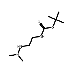 CN(C)NCCNC(=O)OC(C)(C)C